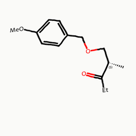 CCC(=O)[C@@H](C)COCc1ccc(OC)cc1